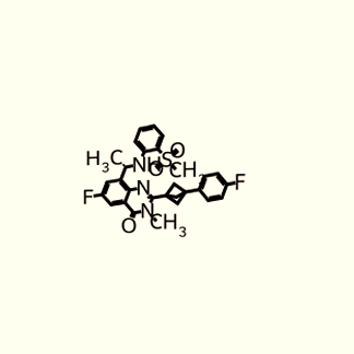 C[C@H](Nc1ccccc1S(C)(=O)=O)c1cc(F)cc2c(=O)n(C)c(C34CC(c5ccc(F)cc5)(C3)C4)nc12